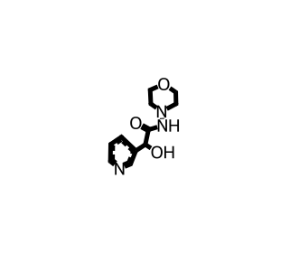 O=C(NN1CCOCC1)C(O)c1cccnc1